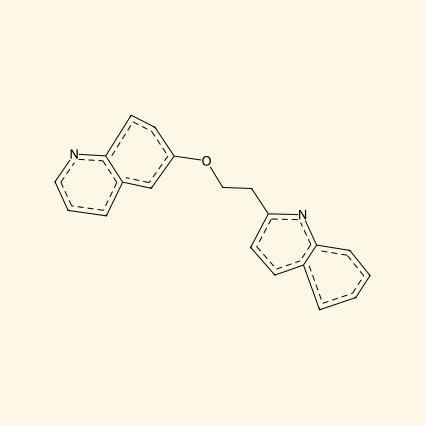 c1cnc2ccc(OCCc3ccc4ccccc4n3)cc2c1